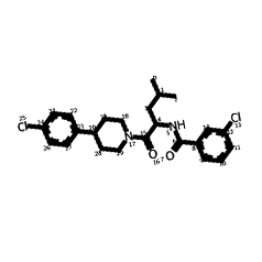 CC(C)CC(NC(=O)c1cccc(Cl)c1)C(=O)N1CCC(c2ccc(Cl)cc2)CC1